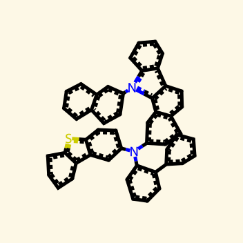 c1ccc(-c2ccccc2N(c2ccc3sc4ccccc4c3c2)c2ccc3ccc4c5ccccc5n(-c5ccc6ccccc6c5)c4c3c2)cc1